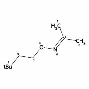 CC(C)=NOCCC(C)(C)C